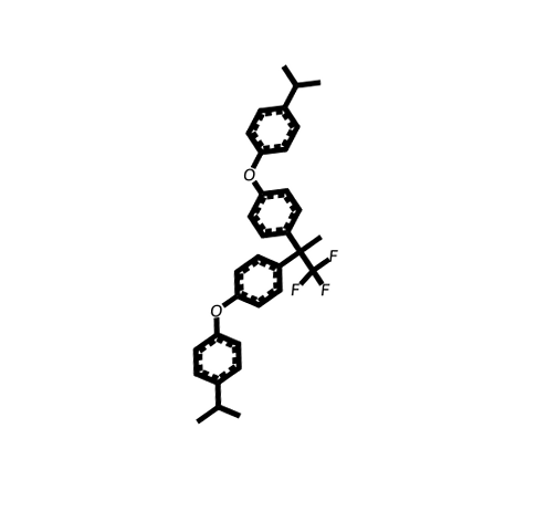 CC(C)c1ccc(Oc2ccc(C(C)(c3ccc(Oc4ccc(C(C)C)cc4)cc3)C(F)(F)F)cc2)cc1